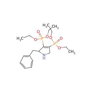 CCOP(=O)(OCC)C1=C(P(=O)(OCC)OCC)C(Cc2ccccc2)NC1